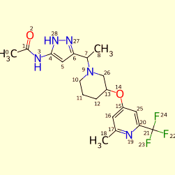 CC(=O)Nc1cc(C(C)N2CCCC(Oc3cc(C)nc(C(F)(F)F)c3)C2)n[nH]1